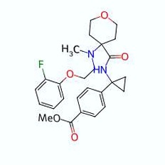 COC(=O)c1ccc(C2(NC(=O)C3(N(C)CCOc4ccccc4F)CCOCC3)CC2)cc1